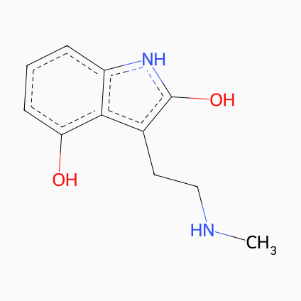 CNCCc1c(O)[nH]c2cccc(O)c12